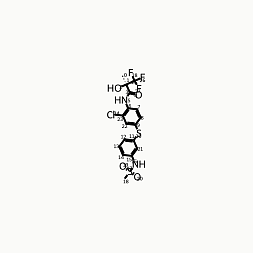 C[C@@](O)(C(=O)Nc1ccc(Sc2cccc(NS(C)(=O)=O)c2)cc1Cl)C(F)(F)F